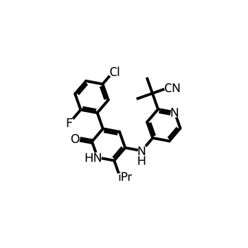 CC(C)c1[nH]c(=O)c(-c2cc(Cl)ccc2F)cc1Nc1ccnc(C(C)(C)C#N)c1